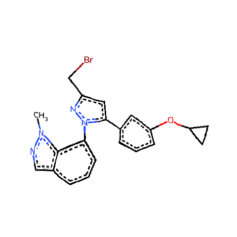 Cn1ncc2cccc(-n3nc(CBr)cc3-c3cccc(OC4CC4)c3)c21